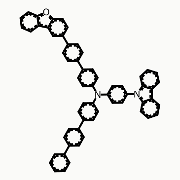 c1ccc(-c2ccc(-c3ccc(N(c4ccc(-c5ccc(-c6ccc7oc8ccccc8c7c6)cc5)cc4)c4ccc(-n5c6ccccc6c6ccccc65)cc4)cc3)cc2)cc1